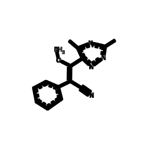 BOC(=C(C#N)c1ccccc1)c1nnc(C)nc1C